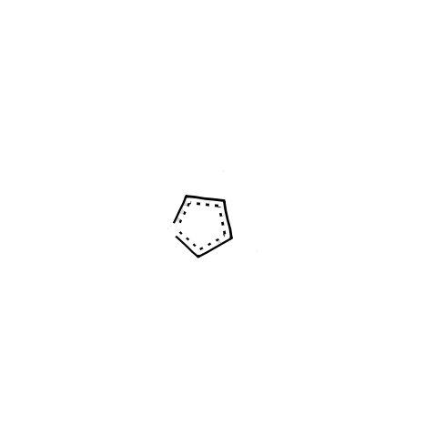 [S].[S].c1ccsc1